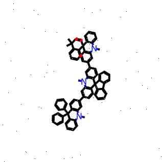 CN1c2ccccc2C(c2ccccc2)(c2ccccc2)c2ccc(-c3ccc4c(c3)N(C)c3cc(-c5ccc6c(c5)N(C)c5ccccc5C65c6ccccc6C(C)(C)c6ccccc65)ccc3C43c4ccccc4-c4ccccc43)cc21